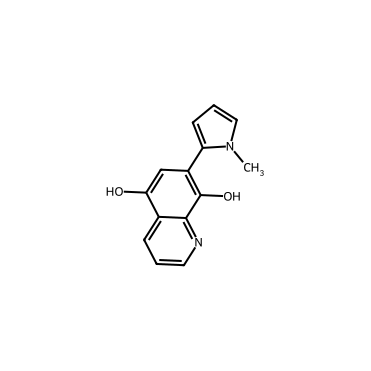 Cn1cccc1-c1cc(O)c2cccnc2c1O